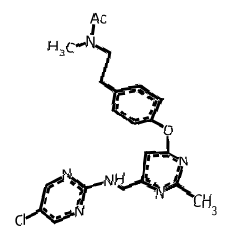 CC(=O)N(C)CCc1ccc(Oc2cc(CNc3ncc(Cl)cn3)nc(C)n2)cc1